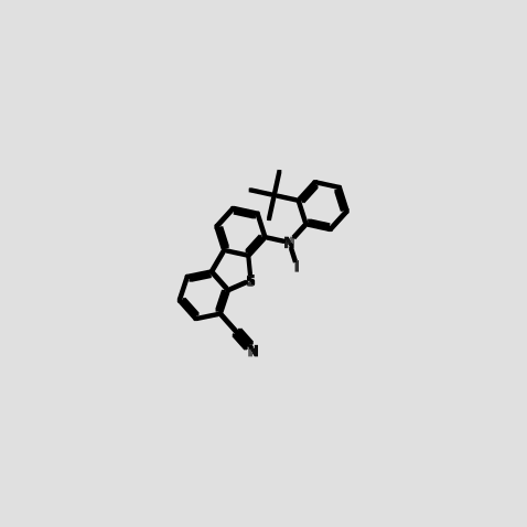 CC(C)(C)c1ccccc1N(I)c1cccc2c1sc1c(C#N)cccc12